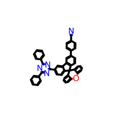 N#Cc1ccc(-c2ccc3c(c2)-c2cc(-c4nc(-c5ccccc5)nc(-c5ccccc5)n4)ccc2C32c3ccccc3Oc3ccccc32)cc1